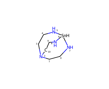 C1CN2CC[NH][SnH]([NH]1)[NH]CC2